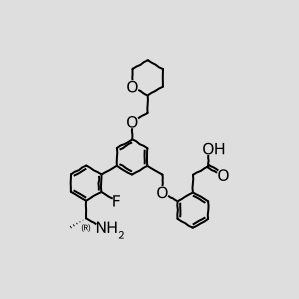 C[C@@H](N)c1cccc(-c2cc(COc3ccccc3CC(=O)O)cc(OCC3CCCCO3)c2)c1F